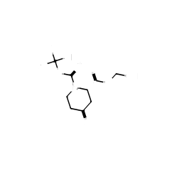 CCOC(=O)[C@@H]1CC(=O)CCN1C(=O)OC(C)(C)C